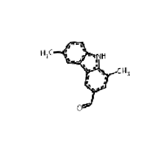 Cc1ccc2[nH]c3c(C)cc(C=O)cc3c2c1